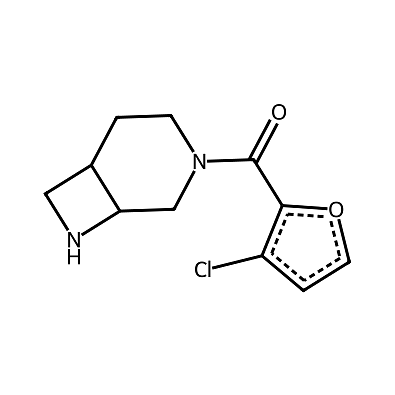 O=C(c1occc1Cl)N1CCC2CNC2C1